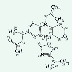 CC(C)CN(c1ccc(C(C)CC(=O)O)cc1Nc1nc(C(C)C)ns1)C1CCOCC1